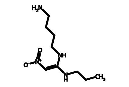 CCCNC(=C[N+](=O)[O-])NCCCCN